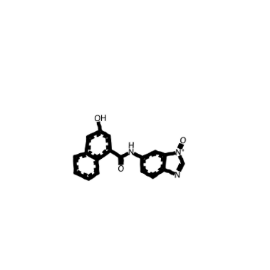 O=C(Nc1ccc2c(c1)[N+](=O)C=N2)c1cc(O)cc2ccccc12